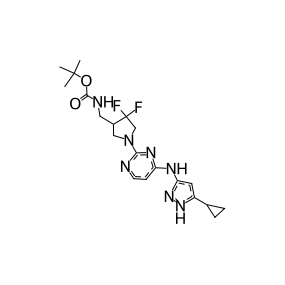 CC(C)(C)OC(=O)NCC1CN(c2nccc(Nc3cc(C4CC4)[nH]n3)n2)CC1(F)F